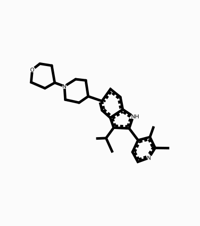 Cc1nccc(-c2[nH]c3ccc(C4CCN(C5CCOCC5)CC4)cc3c2C(C)C)c1C